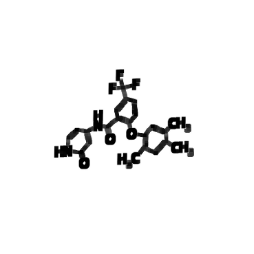 Cc1cc(C)c(Oc2ccc(C(F)(F)F)cc2C(=O)Nc2cc[nH]c(=O)c2)cc1C